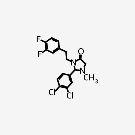 CN1CC(=O)N(CCc2ccc(F)c(F)c2)C1c1ccc(Cl)c(Cl)c1